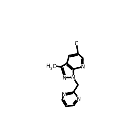 Cc1nn(Cc2ncccn2)c2ncc(F)cc12